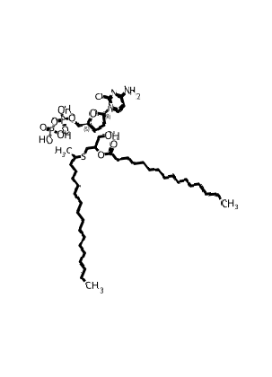 CCCCCCCCCCCCCCCCC(C)SCC(CO)OC(=O)CCCCCCCCCCCCCCC.Nc1ccn([C@H]2CC[C@@H](COP(=O)(O)OP(=O)(O)O)O2)c(=O)n1